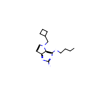 CCCCNc1nc(N)nc2ccn(CC3CCC3)c12